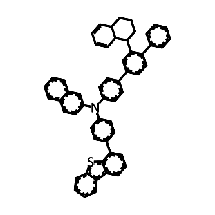 C1=CC2CCCC(c3cc(-c4ccc(N(c5ccc(-c6cccc7c6sc6ccccc67)cc5)c5ccc6ccccc6c5)cc4)ccc3-c3ccccc3)C2C=C1